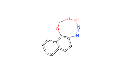 B1N=Nc2ccc3ccccc3c2OCO1